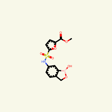 COC(=O)c1ccc(S(=O)(=O)Nc2ccc3c(c2)B(O)OC3)o1